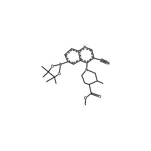 COC(=O)C1CCN(c2c(C#N)cnc3ccc(B4OC(C)(C)C(C)(C)O4)cc23)CC1C